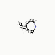 COc1cc2cc(c1Cl)N(C)C(=O)C[C@H](OC(=O)[C@H](C)N(C)C(=O)c1ccc(N)cc1F)[C@]1(C)O[C@H]1[C@H](C)[C@@H]1C[C@@](O)(NC(=O)O1)[C@H](OC)/C=C/C=C(\C)C2